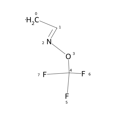 [CH2]C=NOC(F)(F)F